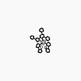 c1ccc(-c2cccc(-c3cc(-c4ccccc4)cc(-c4ccccc4)c3-c3nc(-c4cccc5c4oc4ccccc45)nc(-c4cccc5c4oc4ccccc45)n3)c2)cc1